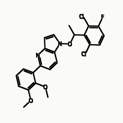 COc1cccc(-c2ccc3c(ccn3OC(C)c3c(Cl)ccc(F)c3Cl)n2)c1OC